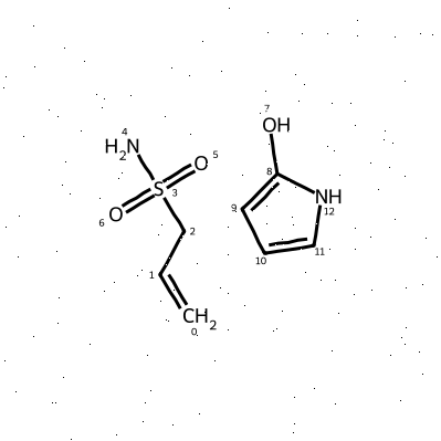 C=CCS(N)(=O)=O.Oc1ccc[nH]1